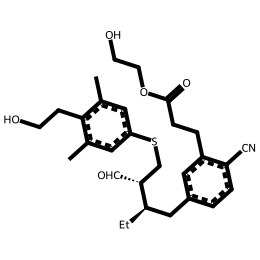 CC[C@H](Cc1ccc(C#N)c(CCC(=O)OCCO)c1)[C@H](C=O)CSc1cc(C)c(CCO)c(C)c1